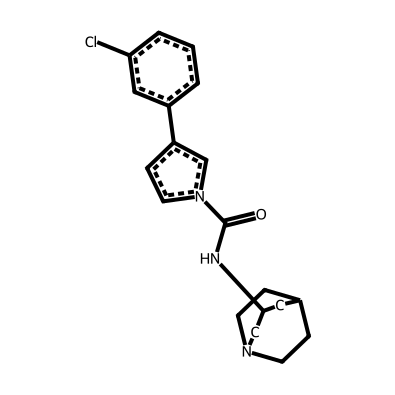 O=C(NC1CC2CCN(CC2)C1)n1ccc(-c2cccc(Cl)c2)c1